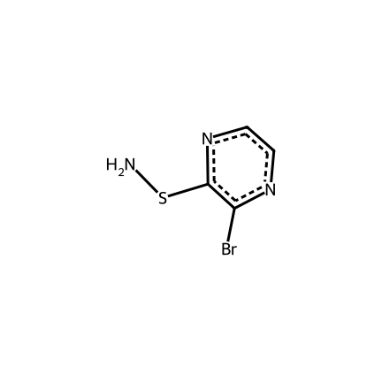 NSc1nccnc1Br